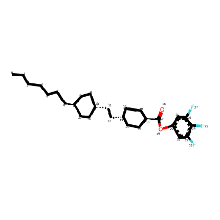 CCCCCCC[C@H]1CC[C@H](CC[C@H]2CC[C@H](C(=O)Oc3cc(F)c(F)c(F)c3)CC2)CC1